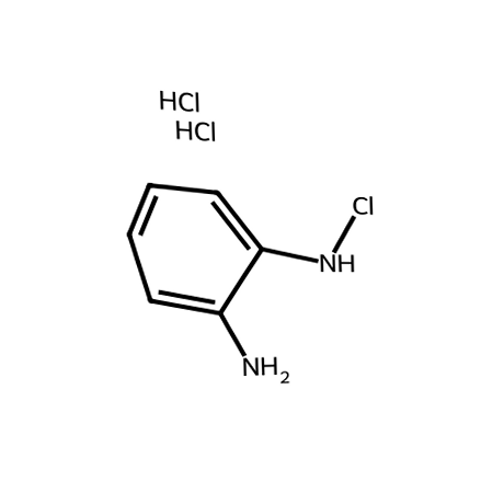 Cl.Cl.Nc1ccccc1NCl